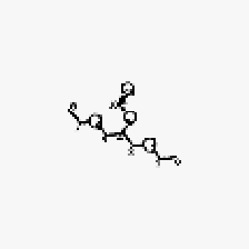 CCOCC(COCC)O[C]=O